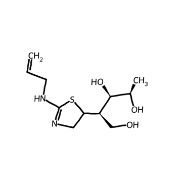 C=CCNC1=NCC([C@H](CO)[C@@H](O)[C@@H](C)O)S1